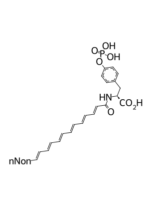 CCCCCCCCC/C=C/C=C/C=C/C=C/C=C/C=C/C(=O)N[C@@H](Cc1ccc(OP(=O)(O)O)cc1)C(=O)O